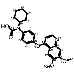 COc1cc2nccc(Oc3ccc(N(C(=O)O)C4CCCCC4)cc3)c2cc1OC